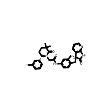 CC1(C)CC[C@@H](c2cccc(Cl)c2)N(CC(=O)Nc2ccc3c(c2)C[C@@]2(C3)C(=O)Nc3ncccc32)C1=O